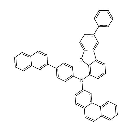 c1ccc(-c2ccc3oc4c(N(c5ccc(-c6ccc7ccccc7c6)cc5)c5ccc6ccc7ccccc7c6c5)cccc4c3c2)cc1